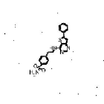 NS(=O)(=O)c1ccc(CCNc2ncnc3cc(-c4ccccc4)sc23)cc1